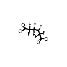 O=C(Cl)C(F)(F)C(F)C(F)(F)C(F)(F)C(=O)Cl